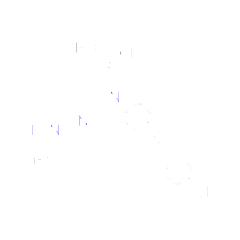 CC(C)=CCN(c1ccc(OCc2ccc(Cl)cc2)cc1)C1CCCN(CC(N)CC(C)C)C1